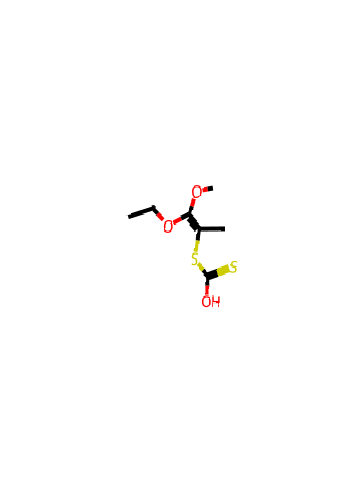 CCOC(OC)=C(C)SC(O)=S